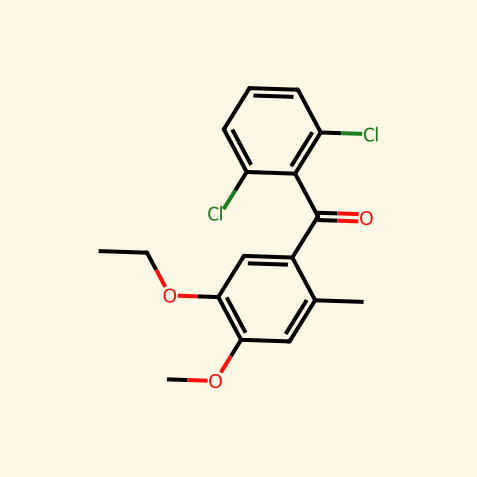 CCOc1cc(C(=O)c2c(Cl)cccc2Cl)c(C)cc1OC